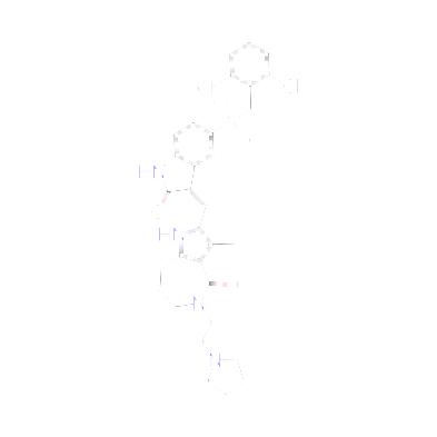 Cc1c(C=C2C(=O)Nc3ccc(S(=O)(=O)Cc4c(Cl)cccc4Cl)cc32)[nH]c2c1C(=O)N(CCN1CCCC1)CCC2